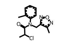 Cc1ccccc1N(Cc1nonc1C)C(=O)C(C)Cl